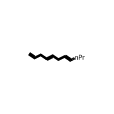 [CH2]CCC=CCC=CCC=C